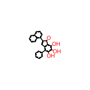 O=C1C(c2cccc3ccccc23)=Cc2c1c(O)c(O)c(O)c2-c1ccccc1